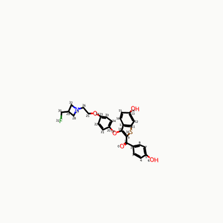 O=C(c1ccc(O)cc1)c1sc2cc(O)ccc2c1Oc1ccc(OCCN2CC(CF)C2)cc1